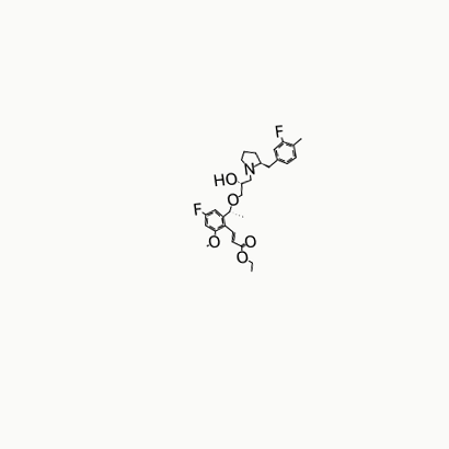 CCOC(=O)/C=C/c1c(OC)cc(F)cc1[C@@H](C)OC[C@H](O)CN1CCC[C@H]1Cc1ccc(C)c(F)c1